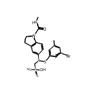 CNC(=O)N1CCc2cc(N(CP(=O)(O)O)Sc3cc(C)cc(Br)c3)ccc21